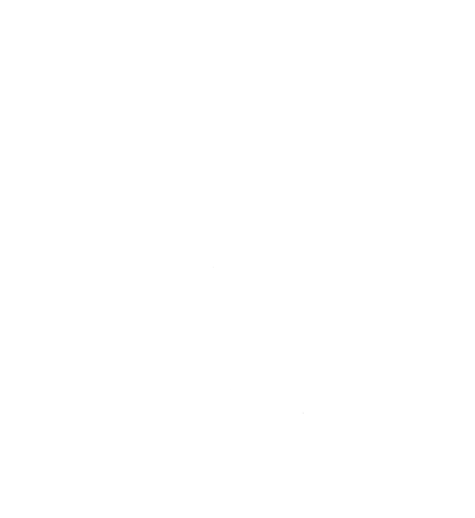 CC(C)(C)c1ccc(/C=C/C(=O)/C=C(O)\C=C\c2ccc(C(C)(C)C)cc2)cc1